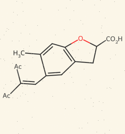 CC(=O)C(=Cc1cc2c(cc1C)OC(C(=O)O)C2)C(C)=O